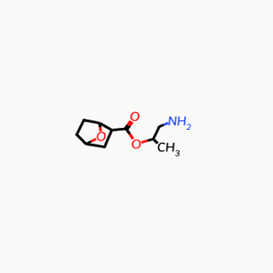 CC(CN)OC(=O)C1CC2CCC1O2